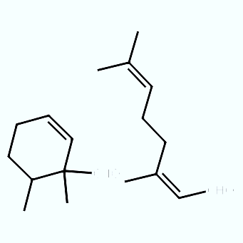 CC(C)=CCCC(C)=CC=O.CC1CCC=CC1(C)C=O